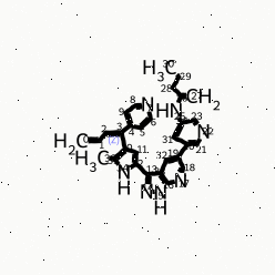 C=C/C=C(/c1ccncc1)c1cc(-c2n[nH]c3ncc(-c4cncc(NC(=C)CCC)c4)cc23)[nH]c1C